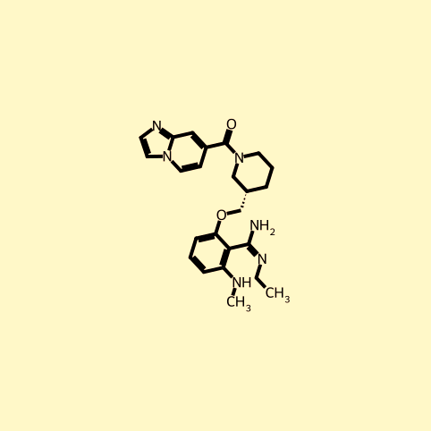 CC/N=C(/N)c1c(NC)cccc1OC[C@H]1CCCN(C(=O)c2ccn3ccnc3c2)C1